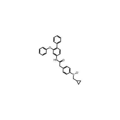 O=C(Cc1ccc([S+]([O-])CC2CC2)cc1)Nc1ccc(-c2ccccc2)c(Oc2ccccc2)c1